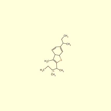 CCC(C)C1=CC2SC(C(C)[C@H](C)CC)=C(C)C2C=C1